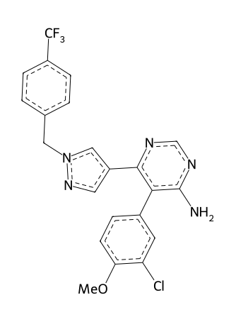 COc1ccc(-c2c(N)ncnc2-c2cnn(Cc3ccc(C(F)(F)F)cc3)c2)cc1Cl